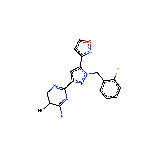 N#CC1CN=C(c2cc(-c3ccon3)n(Cc3ccccc3F)n2)N=C1N